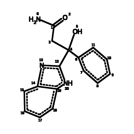 NC(=O)CC(O)(c1ccccc1)c1nc2ccccc2[nH]1